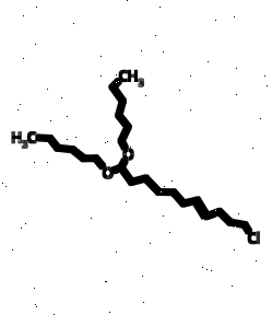 CCCCCCOC(CCCCC/C=C/CCCCl)OCCCCCC